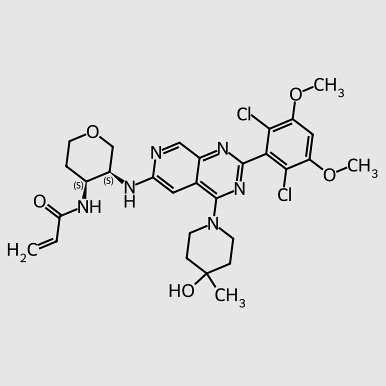 C=CC(=O)N[C@H]1CCOC[C@H]1Nc1cc2c(N3CCC(C)(O)CC3)nc(-c3c(Cl)c(OC)cc(OC)c3Cl)nc2cn1